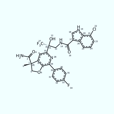 C[C@]1(C(N)=O)COc2c1cc([C@@](O)(CNC(=O)c1c[nH]c3c(Cl)cccc13)C(F)(F)F)nc2-c1ccc(F)cc1